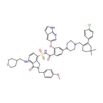 COc1ccc(CN2Cc3c(S(=O)(=O)NC(=O)c4ccc(N5CCN(CC6=C(c7ccc(Cl)cc7)CC(C)(C)CC6)CC5)cc4Oc4cnc5[nH]ccc5c4)ccc(NCC4CCOCC4)c3C2=O)cc1